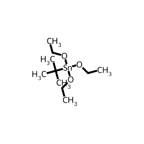 CC[O][Sn]([O]CC)([O]CC)[C](C)(C)C